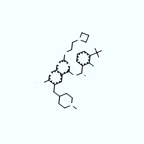 COc1nc2nc(OCCN3CCC3)nc(N[C@H](C)c3cccc(C(C)(F)F)c3F)c2cc1CC1CCN(C(C)C)CC1